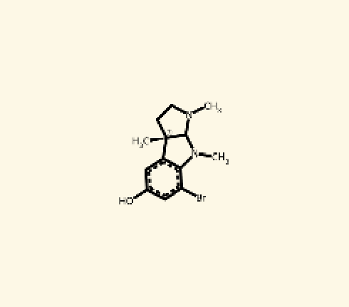 CN1CC[C@@]2(C)c3cc(O)cc(Br)c3N(C)C12